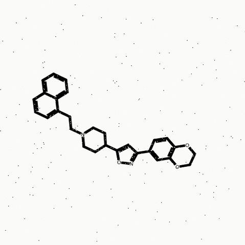 c1ccc2c(CCN3CCC(c4cc(-c5ccc6c(c5)OCCO6)no4)CC3)cccc2c1